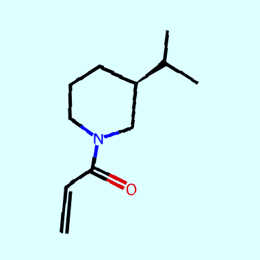 C=CC(=O)N1CCC[C@@H](C(C)C)C1